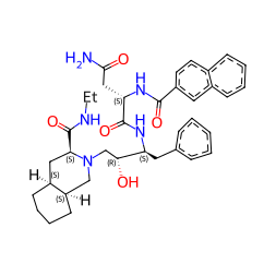 CCNC(=O)[C@@H]1C[C@@H]2CCCC[C@@H]2CN1C[C@@H](O)[C@H](Cc1ccccc1)NC(=O)[C@H](CC(N)=O)NC(=O)c1ccc2ccccc2c1